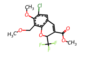 COCc1c(OC)c(Cl)cc2c1OC(C(F)(F)F)C(C(=O)OC)=C2